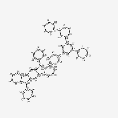 c1ccc(-c2cccc(-c3cc(-c4ccccc4)nc(-c4cccc(-c5ccccc5-n5c6ccccc6c6cc7c(cc65)c5ccccc5n7-c5ccccc5)c4)n3)c2)cc1